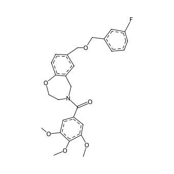 COc1cc(C(=O)N2CCOc3ccc(COCc4cccc(F)c4)cc3C2)cc(OC)c1OC